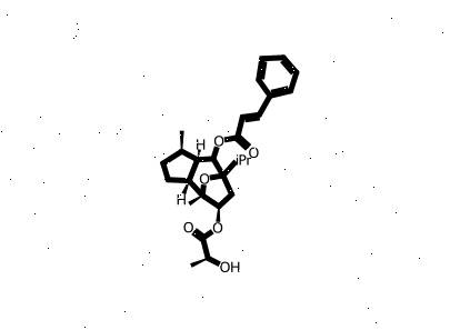 CC(C)C12C[C@@H](OC(=O)[C@H](C)O)[C@@](C)(O1)[C@@H]1CC[C@@H](C)[C@H]1C2OC(=O)/C=C/c1ccccc1